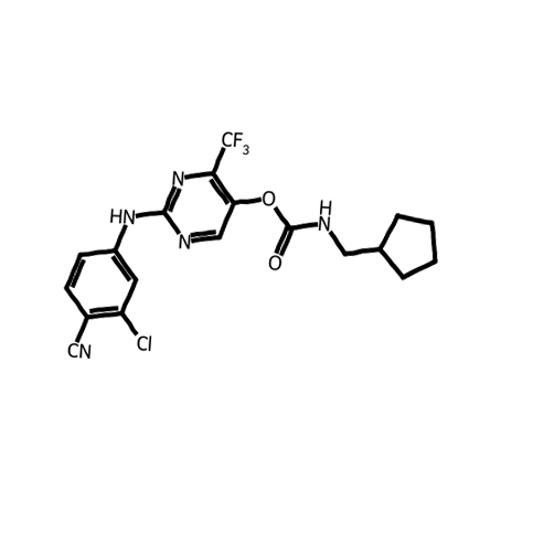 N#Cc1ccc(Nc2ncc(OC(=O)NCC3CCCC3)c(C(F)(F)F)n2)cc1Cl